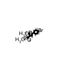 CCOC(=O)c1cc(-c2ccc(Br)cc2)oc1C